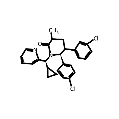 CC1CC(c2cccc(Cl)c2)[C@@H](c2ccc(Cl)cc2)N([C@H](c2ccccn2)C2CC2)C1=O